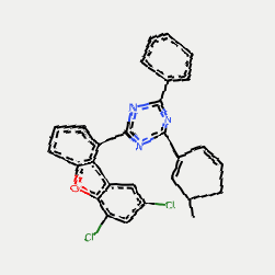 CC1C=C(c2nc(-c3ccccc3)nc(-c3cccc4oc5c(Cl)cc(Cl)cc5c34)n2)C=CC1